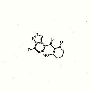 O=C1CCCC(O)=C1C(=O)c1ccc(F)c2nnsc12